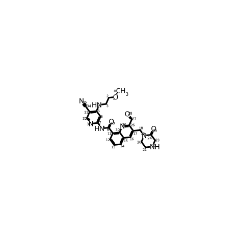 COCCNc1cc(NC(=O)c2cccc3cc(CN4CCNCC4=O)c(C=O)nc23)ncc1C#N